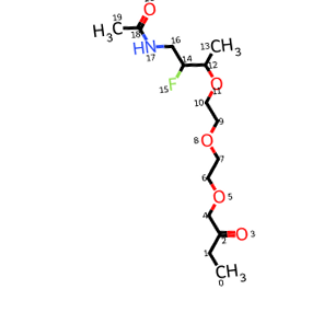 CCC(=O)COCCOCCOC(C)C(F)CNC(C)=O